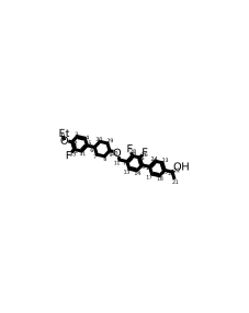 CCOc1ccc(C2CCC(OCc3ccc(-c4ccc(C(C)O)cc4)c(F)c3F)CC2)cc1F